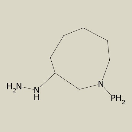 NNC1CCCCCN(P)C1